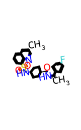 Cc1cnc2c(S(=O)(=O)N[C@H]3CC[C@H](C(=O)N[C@H](C)c4ccc(F)cc4)CC3)cccc2c1